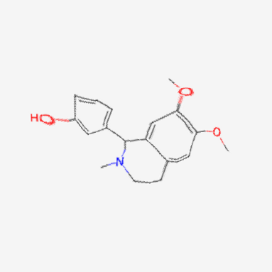 COc1cc2c(cc1OC)C(c1cccc(O)c1)N(C)CC2